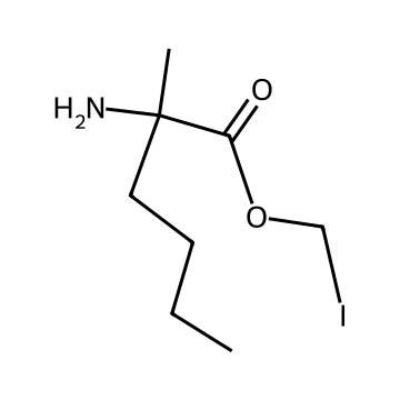 CCCCC(C)(N)C(=O)OCI